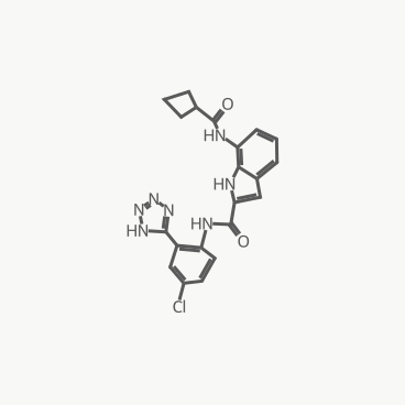 O=C(Nc1ccc(Cl)cc1-c1nnn[nH]1)c1cc2cccc(NC(=O)C3CCC3)c2[nH]1